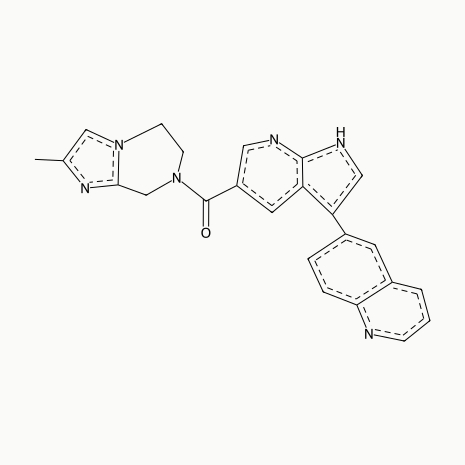 Cc1cn2c(n1)CN(C(=O)c1cnc3[nH]cc(-c4ccc5ncccc5c4)c3c1)CC2